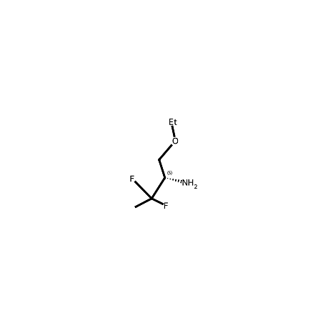 CCOC[C@H](N)C(C)(F)F